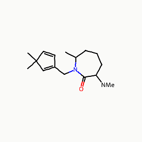 CNC1CCCC(C)N(CC2=CC(C)(C)C=C2)C1=O